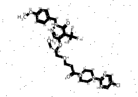 CC[C@@H](COCCC(=O)N1CCN(c2ncc(Cl)cn2)CC1)Oc1cnn(Cc2ccc(OC)cc2)c(=O)c1C(F)(F)F